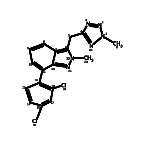 Cn1nnc(Cc2c3cccc(-c4ccc(Cl)cc4Cl)c3nn2C)n1